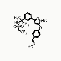 CCn1nc(-c2cccc(C(C)(C)NS(=O)(=O)CC(F)(F)F)c2)cc1Oc1ccc(/C=N/O)cc1